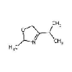 CC1N=C(C(C)C)CO1